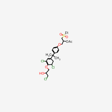 CCS(=O)(=O)CC(COc1ccc(C(C)(C)C2=CC(Cl)=C(OCC(O)CCl)C(Cl)C2)cc1)OC(C)=O